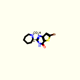 O=C(O)N1CCCCC[C@H]1c1nc2cc(Br)sc2c(=O)[nH]1